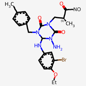 CCOc1ccc(NC2N(N)C(=O)N(C[C@H](C)C(=O)N=O)C(=O)N2Cc2ccc(C)cc2)cc1Br